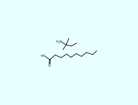 CCC(C)(C)N.CCCCCCCCCC(=O)O